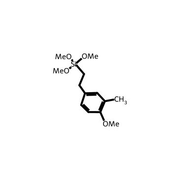 COc1ccc(CC[Si](OC)(OC)OC)cc1C